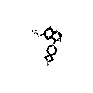 FC(F)(F)Oc1ccc2ncnc(N3CCC4(CC3)CNC4)c2c1